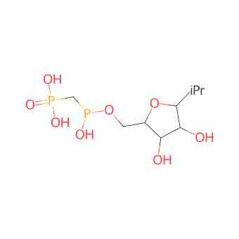 CC(C)C1OC(COP(O)CP(=O)(O)O)C(O)C1O